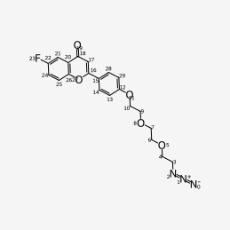 [N-]=[N+]=NCCOCCOCCOc1ccc(-c2cc(=O)c3cc(F)ccc3o2)cc1